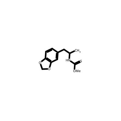 COC(=S)NC(C)Cc1ccc2c(c1)OCO2